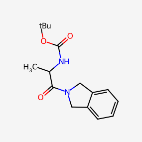 CC(NC(=O)OC(C)(C)C)C(=O)N1Cc2ccccc2C1